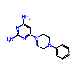 Nc1cc(N2CCN(c3ccccc3)CC2)nc(N)n1